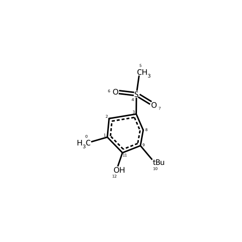 Cc1cc(S(C)(=O)=O)cc(C(C)(C)C)c1O